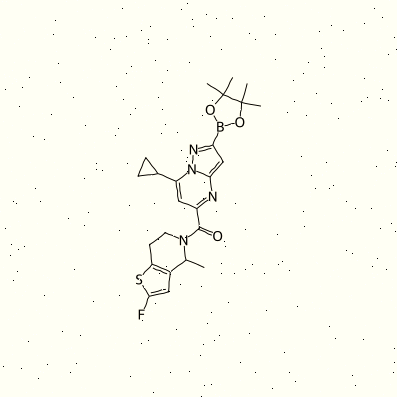 CC1c2cc(F)sc2CCN1C(=O)c1cc(C2CC2)n2nc(B3OC(C)(C)C(C)(C)O3)cc2n1